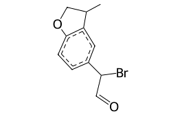 CC1COc2ccc(C(Br)C=O)cc21